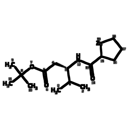 CC(C)[C@H](CC(=O)OC(C)(C)C)NC(=O)[CH]1CC[CH2][Zn]1